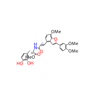 COC(=O)[C@H](Cc1ccc(O)c(O)c1)NC(=O)/C=C/c1ccc(OC)c2oc(-c3ccc(OC)c(OC)c3)cc12